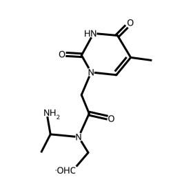 Cc1cn(CC(=O)N(C[C]=O)C(C)N)c(=O)[nH]c1=O